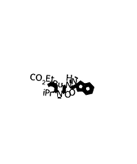 CCOC(=O)/C(C)=C/[C@H](C(C)C)N(C)C(=O)[C@@H](NC(=O)C1(N(C)C)Cc2ccccc2C1)C(C)(C)C